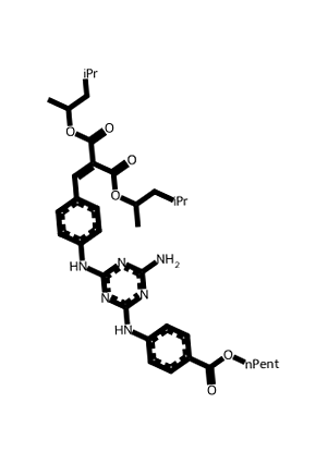 CCCCCOC(=O)c1ccc(Nc2nc(N)nc(Nc3ccc(C=C(C(=O)OC(C)CC(C)C)C(=O)OC(C)CC(C)C)cc3)n2)cc1